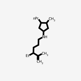 C=C(C)C(CC)CCCNC1CC(C)C(CCC)C1